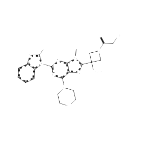 CCc1nc2ccccc2n1-c1nc(N2CCOCC2)c2nc(C3(OC)CN(C(=O)CO)C3)n(C)c2n1